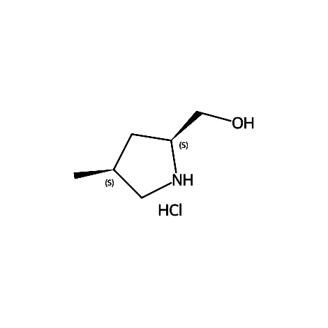 C[C@@H]1CN[C@H](CO)C1.Cl